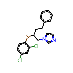 Clc1ccc(SC(CCc2ccccc2)Cn2ccnc2)c(Cl)c1